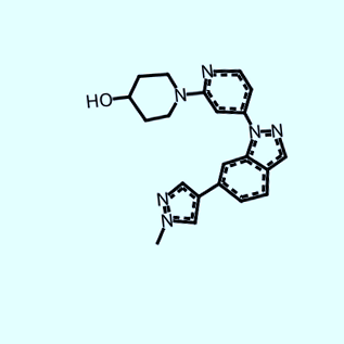 Cn1cc(-c2ccc3cnn(-c4ccnc(N5CCC(O)CC5)c4)c3c2)cn1